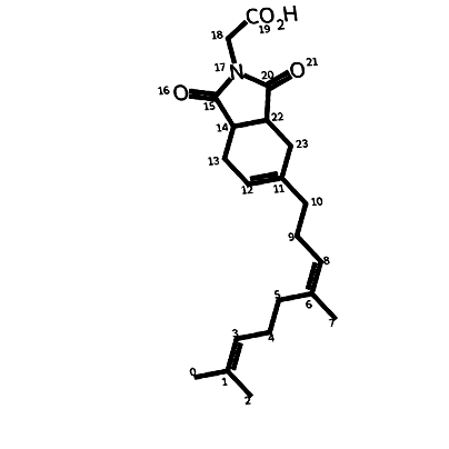 CC(C)=CCCC(C)=CCCC1=CCC2C(=O)N(CC(=O)O)C(=O)C2C1